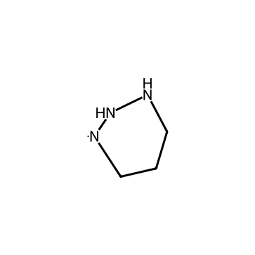 C1C[N]NNC1